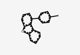 Ic1ccc(-c2cccc3oc4ccccc4c23)cc1